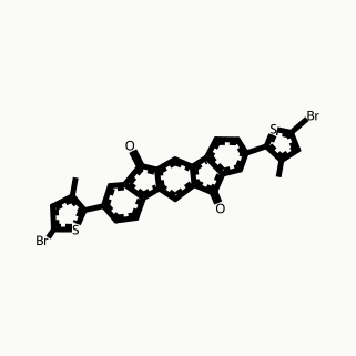 Cc1cc(Br)sc1-c1ccc2c(c1)c(=O)c1cc3c(cc12)c(=O)c1cc(-c2sc(Br)cc2C)ccc13